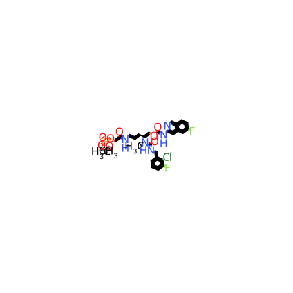 COP(=O)(OC)OCC(=O)NCCC[C@@H](COC(=O)Nc1cc2cc(F)ccc2cn1)N(C)C(=O)NCc1cccc(F)c1Cl